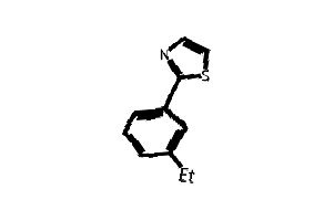 CCc1cccc(-c2nccs2)c1